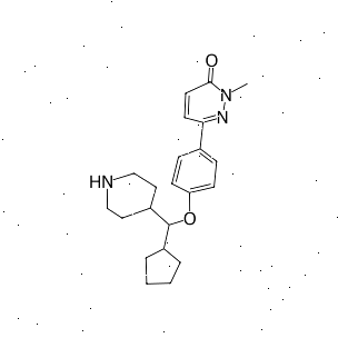 Cn1nc(-c2ccc(OC(C3CCCC3)C3CCNCC3)cc2)ccc1=O